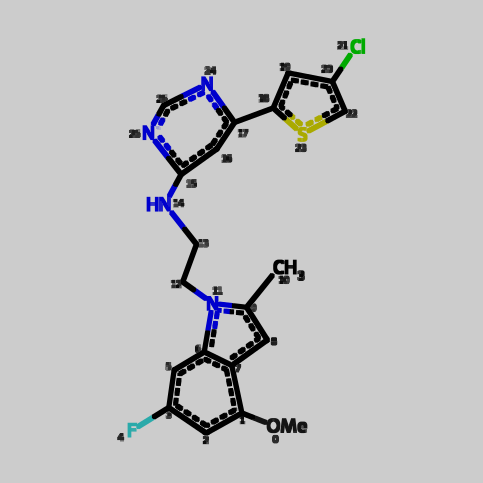 COc1cc(F)cc2c1cc(C)n2CCNc1cc(-c2cc(Cl)cs2)ncn1